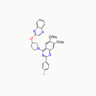 COc1cc2nc(-c3ccc(F)cc3)nc(N3CCC(Oc4cnc5ccccc5n4)C3)c2cc1OC